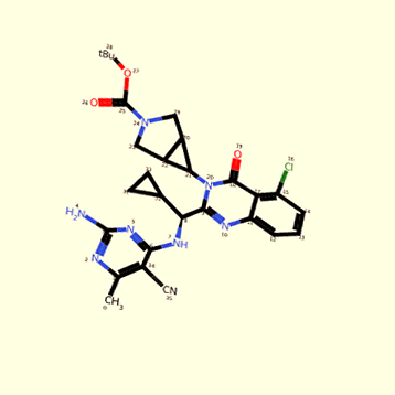 Cc1nc(N)nc(N[C@H](c2nc3cccc(Cl)c3c(=O)n2C2C3CN(C(=O)OC(C)(C)C)CC32)C2CC2)c1C#N